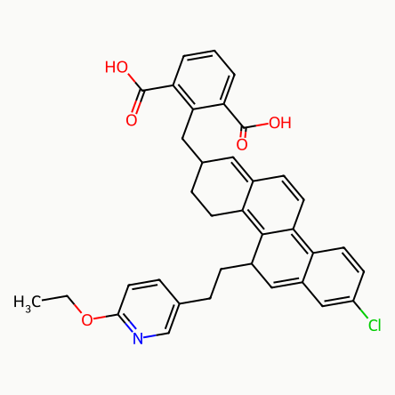 CCOc1ccc(CCC2C=c3cc(Cl)ccc3=c3ccc4c(c32)CCC(Cc2c(C(=O)O)cccc2C(=O)O)C=4)cn1